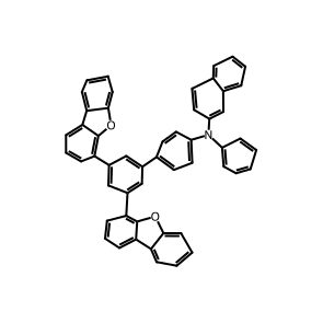 c1ccc(N(c2ccc(-c3cc(-c4cccc5c4oc4ccccc45)cc(-c4cccc5c4oc4ccccc45)c3)cc2)c2ccc3ccccc3c2)cc1